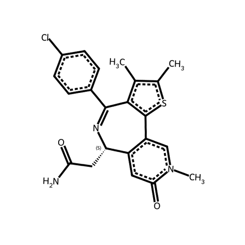 Cc1sc2c(c1C)C(c1ccc(Cl)cc1)=N[C@@H](CC(N)=O)c1cc(=O)n(C)cc1-2